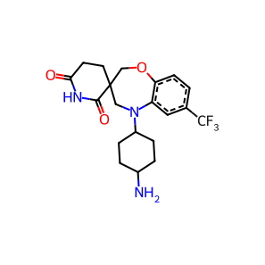 NC1CCC(N2CC3(CCC(=O)NC3=O)COc3ccc(C(F)(F)F)cc32)CC1